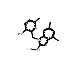 Cc1cc(C)c2nc(NO)n(Cc3nc(C)ccc3O)c2c1